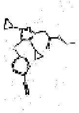 CCOC(=O)Cn1nc(C2CC2)c(Oc2ccc(C#N)cc2)c1C1CC1